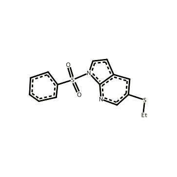 CCSc1cnc2c(ccn2S(=O)(=O)c2ccccc2)c1